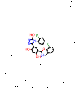 CN(Cc1cccc(F)c1)C(=O)c1cc(-c2nnc(O)n2-c2ccccc2F)c(O)cc1O